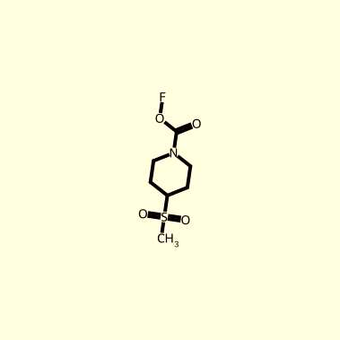 CS(=O)(=O)C1CCN(C(=O)OF)CC1